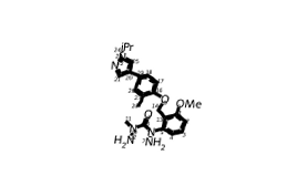 COc1cccc(N(N)C(=O)N(C)N)c1COc1ccc(-c2cnn(C(C)C)c2)cc1C